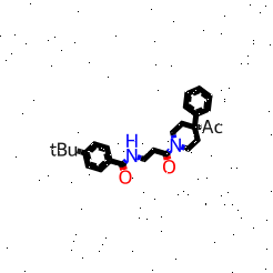 CC(=O)C1(c2ccccc2)CCN(C(=O)CCNC(=O)c2ccc(C(C)(C)C)cc2)CC1